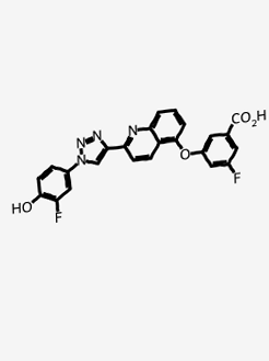 O=C(O)c1cc(F)cc(Oc2cccc3nc(-c4cn(-c5ccc(O)c(F)c5)nn4)ccc23)c1